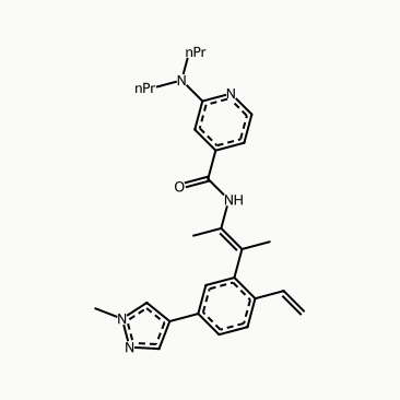 C=Cc1ccc(-c2cnn(C)c2)cc1/C(C)=C(\C)NC(=O)c1ccnc(N(CCC)CCC)c1